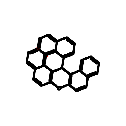 c1ccc2c(C3c4c(ccc5ccccc45)Oc4ccc5ccccc5c43)cccc2c1